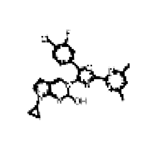 Cc1cc(C)nc(-c2nc(N3C=c4ccn(C5CC5)c4=NC3O)c(-c3ccc(Cl)c(F)c3)o2)n1